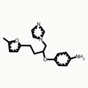 Cc1ccc(CCC(Cn2ccnc2)Oc2ccc(N)cc2)o1